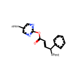 CCCCCCc1cnc(OC(=O)/C=C/C(CCCCC)c2ccccc2)nc1